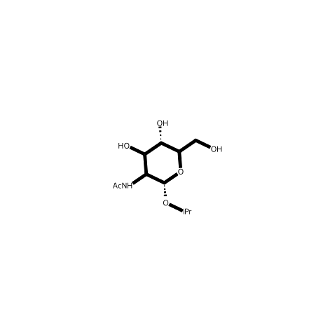 CC(=O)NC1C(O)[C@H](O)C(CO)O[C@@H]1OC(C)C